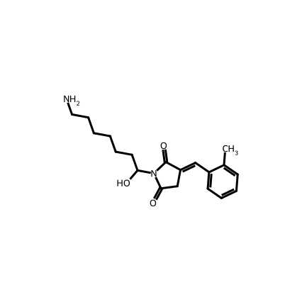 Cc1ccccc1/C=C1\CC(=O)N(C(O)CCCCCCN)C1=O